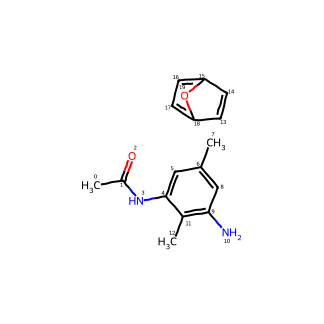 CC(=O)Nc1cc(C)cc(N)c1C.c1cc2ccc1o2